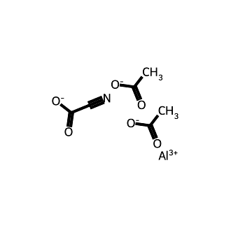 CC(=O)[O-].CC(=O)[O-].N#CC(=O)[O-].[Al+3]